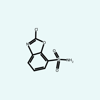 NS(=O)(=O)c1cccc2nc(Cl)oc12